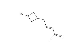 O=C(I)/C=C/CN1CC(F)C1